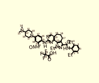 CCc1cccc(CC)c1NC(=O)c1nn(CC)c2c1CCCc1cnc(Nc3ccc(N4CCC(N(C)C)CC4)cc3OC)nc1-2.O=C(O)C(F)(F)F